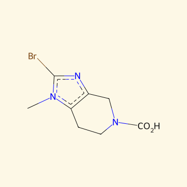 Cn1c(Br)nc2c1CCN(C(=O)O)C2